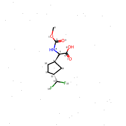 COC(=O)NC(C(=O)O)[C@@H]1CC[C@@H](C(F)F)C1